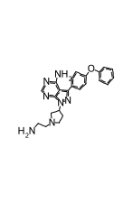 NCCN1CCC(n2nc(-c3ccc(Oc4ccccc4)cc3)c3c(N)ncnc32)C1